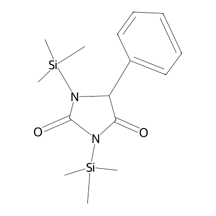 C[Si](C)(C)N1C(=O)C(c2ccccc2)N([Si](C)(C)C)C1=O